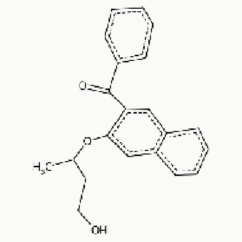 CC(CCO)Oc1cc2ccccc2cc1C(=O)c1ccccc1